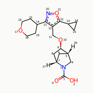 O=C(O)N1C[C@@H]2C[C@H]1C[C@H]2OCc1c(C2CCOCC2)noc1C1CC1